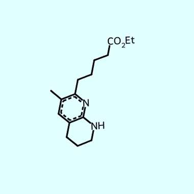 CCOC(=O)CCCCc1nc2c(cc1C)CCCN2